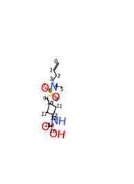 C=CCCN(C)S(=O)(=O)C[C@H]1C[C@@H](NC(=O)O)C1